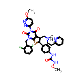 CONC(=O)Nc1ccc(-c2sc3c(c2CN(C)CCc2ccccn2)c(=O)n(-c2ccc(OC)nn2)c(=O)n3Cc2c(F)cccc2F)cc1